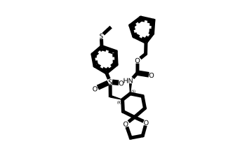 CSc1ccc(S(=O)(=O)C[C@@H]2CC3(CC[C@@H]2NC(=O)OCc2ccccc2)OCCO3)cc1